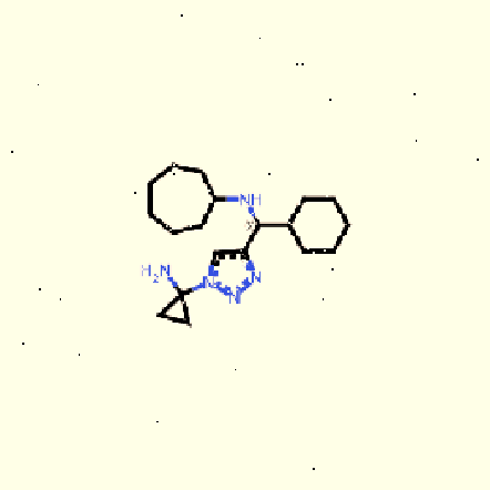 NC1(n2cc([C@@H](NC3CCCCCC3)C3CCCCC3)nn2)CC1